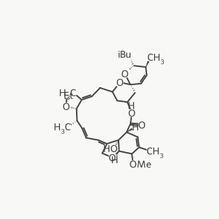 CCO[C@@H]1/C(C)=C/CC2C[C@@H](C[C@]3(C=C[C@H](C)[C@@H]([C@@H](C)CC)O3)O2)OC(=O)[C@@H]2C=C(C)C(OC)[C@H]3OC/C(=C\C=C\[C@@H]1C)[C@]32O